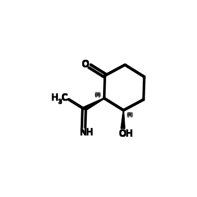 CC(=N)[C@H]1C(=O)CCC[C@H]1O